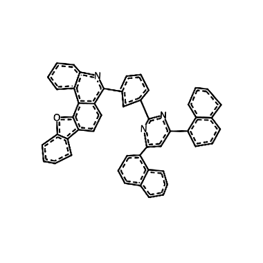 c1cc(-c2nc(-c3cccc4ccccc34)cc(-c3cccc4ccccc34)n2)cc(-c2nc3ccccc3c3c2ccc2c4ccccc4oc23)c1